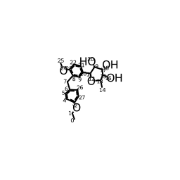 CCOc1ccc(Cc2cc(C3OC(C)C(O)C(O)C3O)ccc2OC)cc1